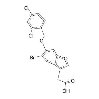 O=C(O)Cc1coc2cc(OCc3ccc(Cl)cc3Cl)c(Br)cc12